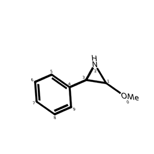 COC1NC1c1ccccc1